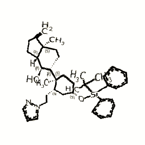 C=C1CC[C@H]2[C@H](O)[C@@H]([C@@]3(C)CC[C@H](O[Si](c4ccccc4)(c4ccccc4)C(C)(C)C)C[C@@H]3CCn3cccn3)CC[C@]12C